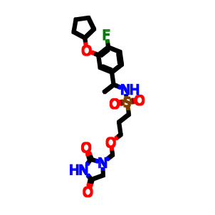 CC(NS(=O)(=O)CCCOCN1CC(=O)NC1=O)c1ccc(F)c(OC2CCCC2)c1